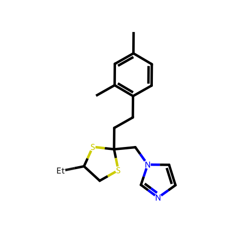 CCC1CSC(CCc2ccc(C)cc2C)(Cn2ccnc2)S1